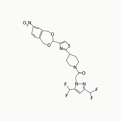 O=C(Cn1nc(C(F)F)cc1C(F)F)N1CCC(c2nc(C3OCc4ccc([N+](=O)[O-])cc4CO3)cs2)CC1